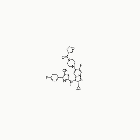 CN(c1nc(-c2ccc(F)cc2)c(C#N)s1)c1c(C2CC2)nn2cc(F)c(N3CCN(C(=O)[C@H]4CCOC4)CC3)cc12